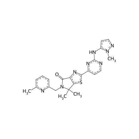 Cc1cccc(CN2C(=O)c3nc(-c4ccnc(Nc5ccnn5C)n4)sc3C2(C)C)n1